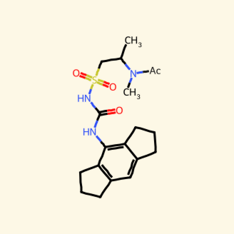 CC(=O)N(C)C(C)CS(=O)(=O)NC(=O)Nc1c2c(cc3c1CCC3)CCC2